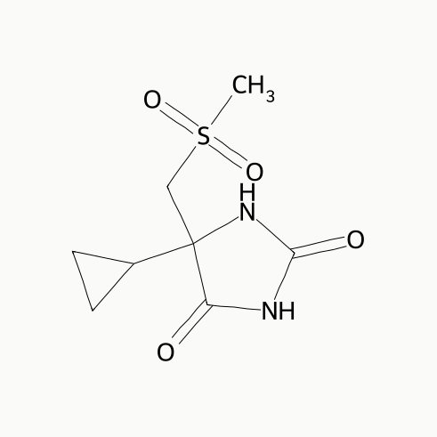 CS(=O)(=O)CC1(C2CC2)NC(=O)NC1=O